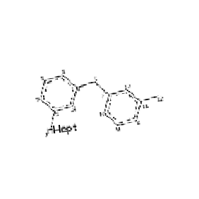 CCCCCCCc1cccc(Cc2cccc(C)c2)c1